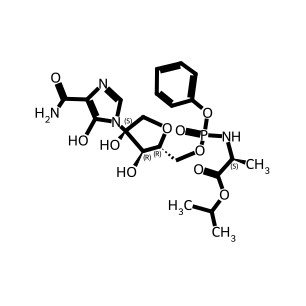 CC(C)OC(=O)[C@H](C)NP(=O)(OC[C@H]1OC[C@@](O)(n2cnc(C(N)=O)c2O)[C@@H]1O)Oc1ccccc1